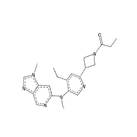 CCC(=O)N1CC(c2cc(CC)c(N(C)c3cc4c(cn3)ncn4C)cn2)C1